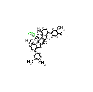 CCC1=Cc2c(-c3ccc(C)c(C)c3)ccc(C)c2[CH]1[Zr+2]1([CH]2C(CC)=Cc3c(-c4ccc(C)c(C)c4)ccc(C)c32)[CH2][CH2]1.[Cl-].[Cl-]